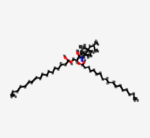 CCCCCCCCCCCCCCCCCC(=O)OCC(OC(=O)CCCCCCCCCCCCCCCCC)C(=O)NC(C)(C)C(C)(C)CC(C)C